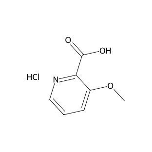 COc1cccnc1C(=O)O.Cl